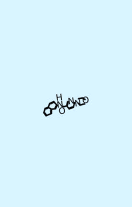 O=C(Nc1ccc2ccccc2c1)c1ccc(N2CCOCC2)nc1